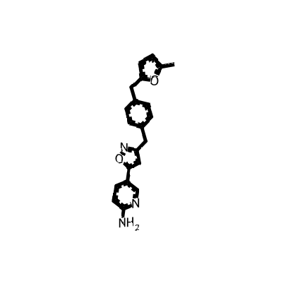 Cc1ccc(Cc2ccc(Cc3cc(-c4ccc(N)nc4)on3)cc2)o1